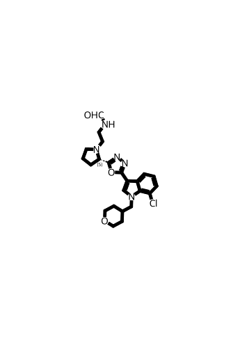 O=CNCCN1CCC[C@H]1c1nnc(-c2cn(CC3CCOCC3)c3c(Cl)cccc23)o1